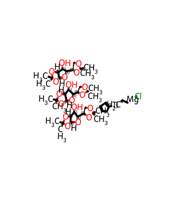 C=C[CH2][Mg][Cl].CC1(C)O[C@H]2O[C@H]([C@H]3COC(C)(C)O3)[C@H](O)[C@H]2O1.CC1(C)O[C@H]2O[C@H]([C@H]3COC(C)(C)O3)[C@H](O)[C@H]2O1.CC1(C)O[C@H]2O[C@H]([C@H]3COC(C)(C)O3)[C@H](O)[C@H]2O1.[Ti][C]1=CC=CC1